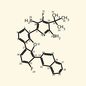 Bc1nc(-c2cccc3c2oc2c(-c4ccc5ccccc5c4)c(F)ccc23)c(B)c(F)c1C(C)(C)C